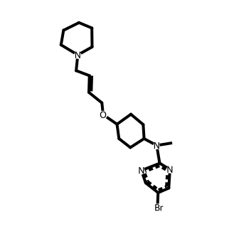 CN(c1ncc(Br)cn1)C1CCC(OCC=CCN2CCCCC2)CC1